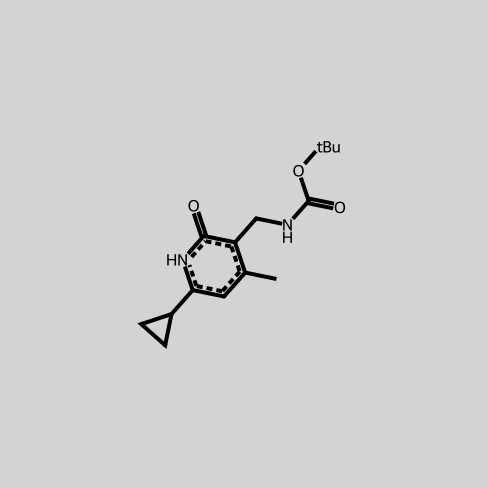 Cc1cc(C2CC2)[nH]c(=O)c1CNC(=O)OC(C)(C)C